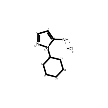 Cl.Nc1ccnn1C1CCCCC1